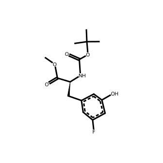 COC(=O)[C@H](Cc1cc(O)cc(F)c1)NC(=O)OC(C)(C)C